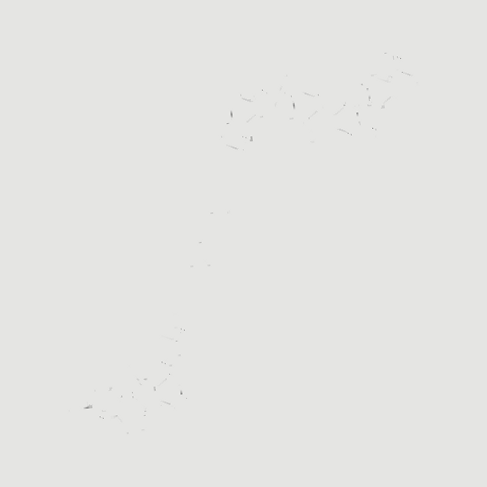 Nc1ncc(-c2ccc(S(=O)(=O)Nc3cccc(NC(=O)CCOCCOCCOCCOCCNC(=O)CNc4cccc5c4C(=O)N(C4CCC(=O)NC4=O)C5=O)c3)cc2F)cc1-c1ccc2c(c1)CCNC2=O